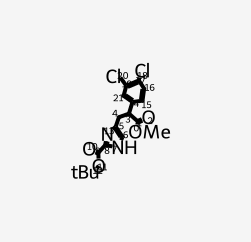 COC(=O)C(Cc1c[nH]c(C(=O)OC(C)(C)C)n1)c1ccc(Cl)c(Cl)c1